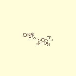 CCCC1=C(OCCCNC(=O)CNc2ccccc2)C=CC2C(C(F)(F)F)=CC(=O)OC12